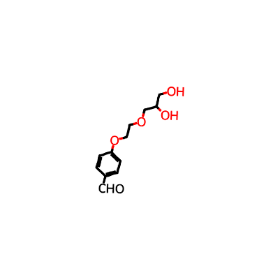 O=Cc1ccc(OCCOCC(O)CO)cc1